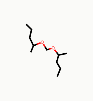 CCCC(C)O[CH]OC(C)CCC